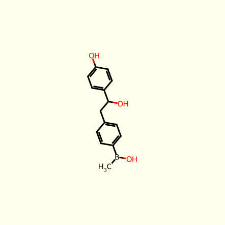 CB(O)c1ccc(CC(O)c2ccc(O)cc2)cc1